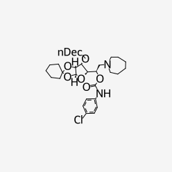 CCCCCCCCCCO[C@@H]1[C@H]2OC3(CCCCC3)O[C@H]2O[C@@H]1[C@@H](CN1CCCCCC1)OC(=O)Nc1ccc(Cl)cc1